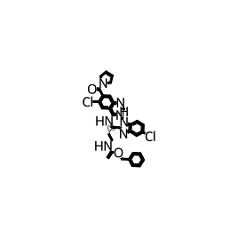 C=C(NCC[C@H](Nc1ncnc2cc(C(=O)N3CC=CC3)c(Cl)cc12)c1nc2cc(Cl)ccc2[nH]1)OCc1ccccc1